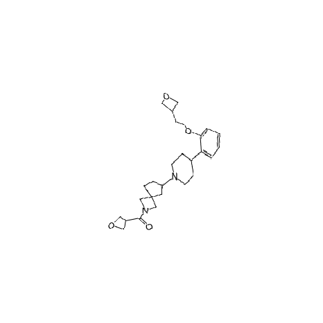 O=C(C1COC1)N1CC2(CCC(N3CCC(c4ccccc4OCCC4COC4)CC3)C2)C1